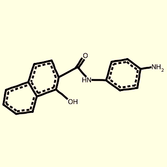 Nc1ccc(NC(=O)c2ccc3ccccc3c2O)cc1